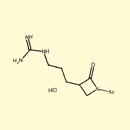 CC(=O)N1CC(CCCNC(=N)N)C1=O.Cl